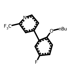 CCCCOc1ccc(F)cc1-c1ccnc(C(F)(F)F)c1